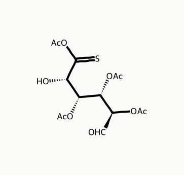 CC(=O)OC(=S)[C@@H](O)[C@@H](OC(C)=O)[C@H](OC(C)=O)[C@H](C=O)OC(C)=O